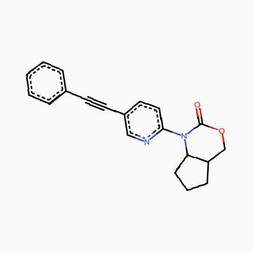 O=C1OCC2CCCC2N1c1ccc(C#Cc2ccccc2)cn1